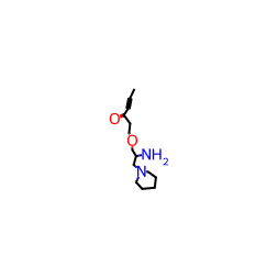 CC#CC(=O)CCOCC(N)CN1CCCCC1